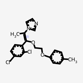 C/C(=C(/OCCOc1ccc(C)cc1)c1ccc(Cl)cc1Cl)n1ccnc1